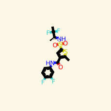 Cc1sc(S(=O)(=O)N[C@@H](C)C(C)(F)F)cc1C(=O)Nc1ccc(F)c(F)c1